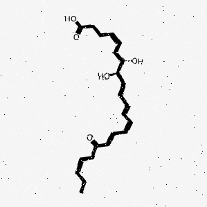 CC/C=C\CC(=O)/C=C/C=C\C=C\C=C\[C@@H](O)[C@@H](O)C/C=C\CCC(=O)O